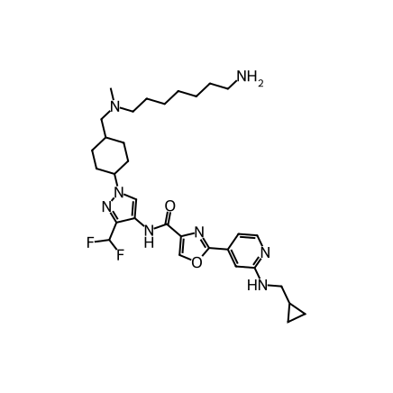 CN(CCCCCCCN)CC1CCC(n2cc(NC(=O)c3coc(-c4ccnc(NCC5CC5)c4)n3)c(C(F)F)n2)CC1